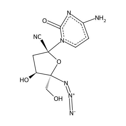 N#C[C@]1(n2ccc(N)nc2=O)C[C@H](O)[C@](CO)(N=[N+]=[N-])O1